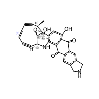 C[C@@H]1C#C/C=C\C#C[C@@H]2Nc3c(cc(O)c4c3C(=O)c3cc5c(cc3C4=O)CNC5)[C@]13O[C@@]23[C@@H](C)O